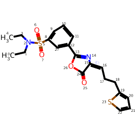 CCN(CC)S(=O)(=O)c1cccc(C2=N/C(=C/CCc3cccs3)C(=O)O2)c1